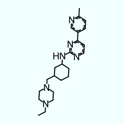 CCN1CCN(CC2CCCC(Nc3nccc(-c4ccc(C)nc4)n3)C2)CC1